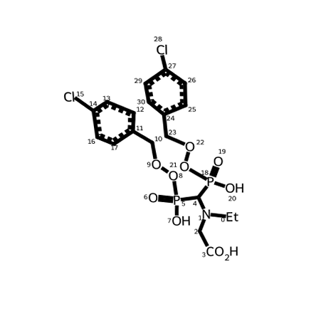 CCN(CC(=O)O)C(P(=O)(O)OOCc1ccc(Cl)cc1)P(=O)(O)OOCc1ccc(Cl)cc1